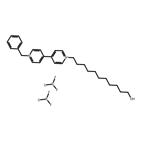 OCCCCCCCCCCC[n+]1ccc(-c2cc[n+](Cc3ccccc3)cc2)cc1.[O-]B(F)F.[O-]B(F)F